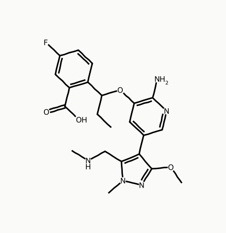 CCC(Oc1cc(-c2c(OC)nn(C)c2CNC)cnc1N)c1ccc(F)cc1C(=O)O